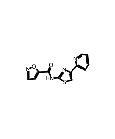 O=C(Nc1nc(-c2ccccn2)cs1)c1ccno1